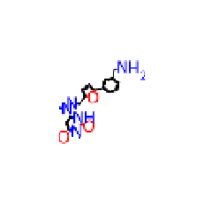 CN(/N=C/c1ccc(-c2cccc(CN)c2)o1)c1cc(=O)n(C)c(=O)[nH]1